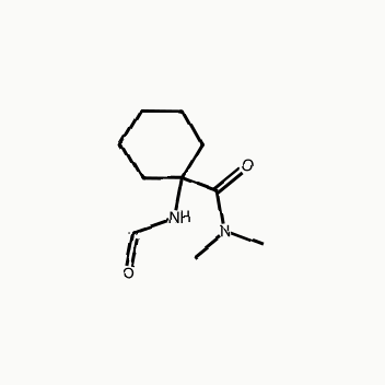 CN(C)C(=O)C1(N[C]=O)CCCCC1